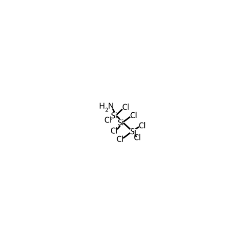 N[Si](Cl)(Cl)[Si](Cl)(Cl)[Si](Cl)(Cl)Cl